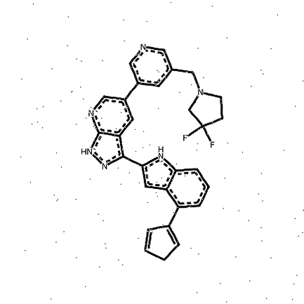 FC1(F)CCN(Cc2cncc(-c3cnc4[nH]nc(-c5cc6c(C7=CCC=C7)cccc6[nH]5)c4c3)c2)C1